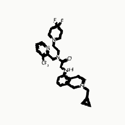 O=C(CNc1cccc2c1CCN(CC1CC1)C2)N(CCN1CCC(F)(F)CC1)Cc1ncccc1C(F)(F)F